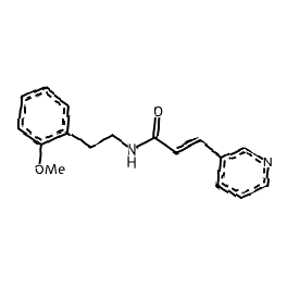 COc1ccccc1CCNC(=O)C=Cc1cccnc1